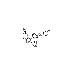 CC(C)c1ccc(COc2ccc(-c3c(-c4ccncn4)nn4c3CNCC4)cc2)cc1